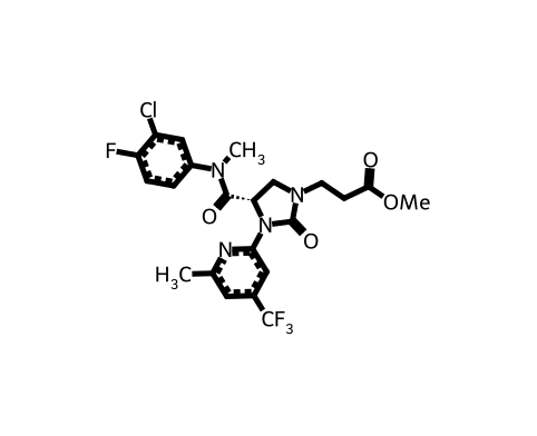 COC(=O)CCN1C[C@@H](C(=O)N(C)c2ccc(F)c(Cl)c2)N(c2cc(C(F)(F)F)cc(C)n2)C1=O